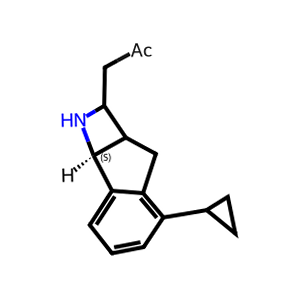 CC(=O)CC1N[C@@H]2c3cccc(C4CC4)c3CC12